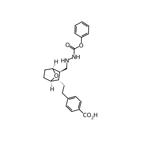 O=C(NNC[C@H]1[C@H](CCc2ccc(C(=O)O)cc2)[C@H]2CC[C@@H]1O2)Oc1ccccc1